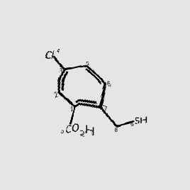 O=C(O)c1cc(Cl)ccc1CS